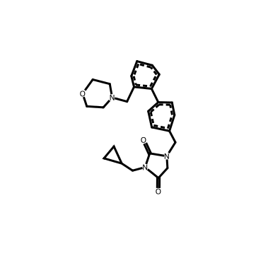 O=C1CN(Cc2ccc(-c3ccccc3CN3CCOCC3)cc2)C(=O)N1CC1CC1